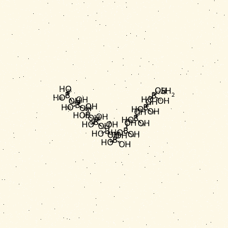 OB(O)O.OB(O)O.OB(O)O.OB(O)O.OB(O)O.OB(O)O.OB(O)O.OB(O)O.OB(O)O.OB(O)O.S